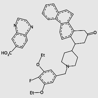 CCOc1cc(CN2CCC(C3CC(=O)Cc4c3ccc3c4ccc4ccccc43)CC2)cc(OCC)c1F.O=C(O)c1ccc2nccnc2c1